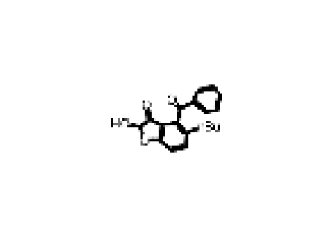 CCCCc1ccc2c(c1C(=O)c1ccccc1)C(=O)C(O)O2